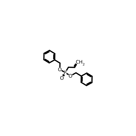 C=CCP(=O)(OCc1ccccc1)OCc1ccccc1